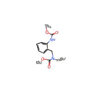 CCCCN(Cc1ccccc1NC(=O)OC(C)(C)C)C(=O)OC(C)(C)C